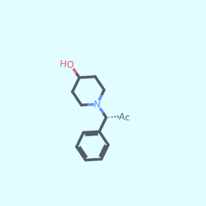 CC(=O)[C@H](c1ccccc1)N1CCC(O)CC1